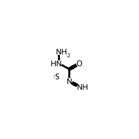 N=NC(=O)NN.[S]